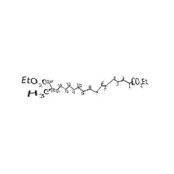 CCOC(=O)CCCCCCCCCCCCCCCC(C)CC(=O)OCC